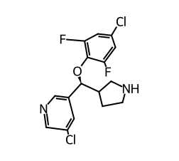 Fc1cc(Cl)cc(F)c1O[C@H](c1cncc(Cl)c1)C1CCNC1